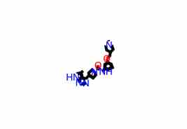 Cc1c[nH]c2ncnc(C3=CCN(C(=O)Nc4cccc(OCC5CCN(C)CC5)c4)CC3)c12